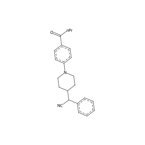 CCCC(=O)c1ccc(N2CCC(C(C#N)c3ccccc3)CC2)cc1